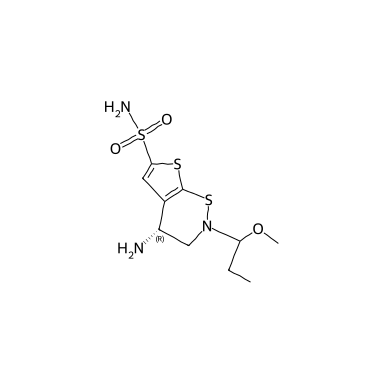 CCC(OC)N1C[C@H](N)c2cc(S(N)(=O)=O)sc2S1